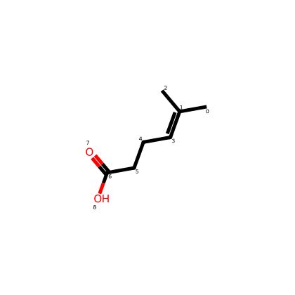 CC(C)=CCCC(=O)O